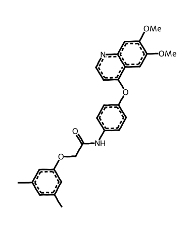 COc1cc2nccc(Oc3ccc(NC(=O)COc4cc(C)cc(C)c4)cc3)c2cc1OC